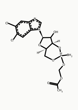 B[PH]1(OCOC(C)=O)OC[C@H]2O[C@@H](n3cnc4cc(Cl)c(Cl)cc43)C(O)[C@H]2O1